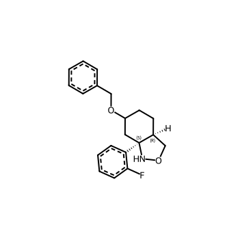 Fc1ccccc1[C@]12CC(OCc3ccccc3)CC[C@H]1CON2